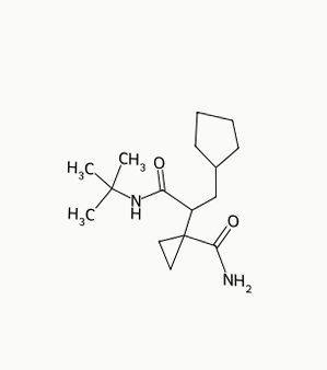 CC(C)(C)NC(=O)C(CC1CCCC1)C1(C(N)=O)CC1